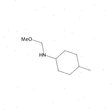 COCNC1CCC(C)CC1